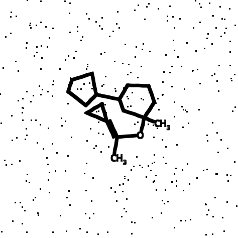 CC(OC1(C)CCCC(C2CCCC2)C1)=C1CC1